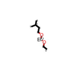 CC[O][Er][O]CCC(C)C